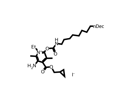 CCCCCCCCCCCCCCCCCCNC(=O)Oc1c(C)c(C(=O)OCC2CC2)c(N)c(C)[n+]1CC.[I-]